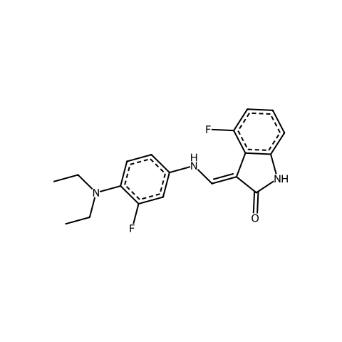 CCN(CC)c1ccc(N/C=C2/C(=O)Nc3cccc(F)c32)cc1F